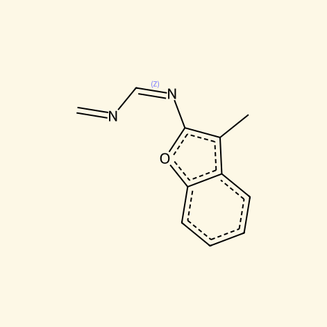 C=N/C=N\c1oc2ccccc2c1C